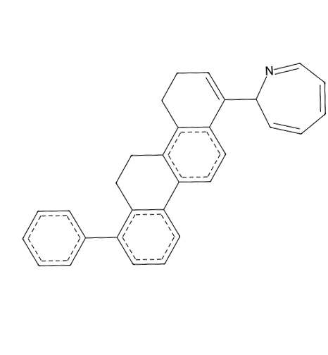 C1=CC=NC(C2=CCCc3c2ccc2c3CCc3c(-c4ccccc4)cccc3-2)C=C1